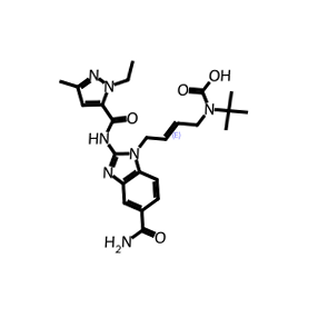 CCn1nc(C)cc1C(=O)Nc1nc2cc(C(N)=O)ccc2n1C/C=C/CN(C(=O)O)C(C)(C)C